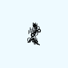 CCCN1CCN(C(=O)[C@@H](Cc2ccc(NC(=O)[C@@H](NC(=O)c3ccnn3C)C3CCCCC3)cc2)NC(=O)CC)C[C@@H]1C